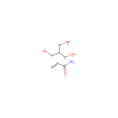 C=CC(N)=O.OCC(CO)CO